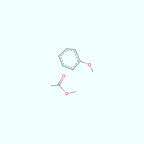 COC(C)=O.COc1ccccc1